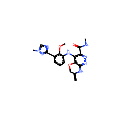 C=C1COc2c(nnc(C(=O)NC)c2Nc2cccc(-c3ncn(C)n3)c2OC)N1